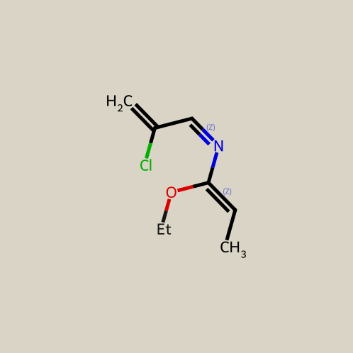 C=C(Cl)/C=N\C(=C\C)OCC